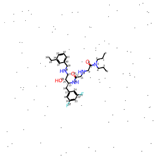 CCCN(CCC)C(=O)CNCC(=O)N[C@@H](Cc1cc(F)cc(F)c1)[C@H](O)CNCc1cccc(CC)c1